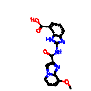 COc1cccn2cc(C(=O)Nc3nc4cccc(C(=O)O)c4[nH]3)nc12